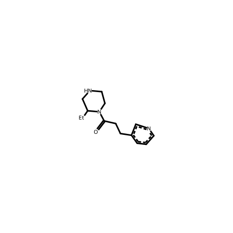 CCC1CNCCN1C(=O)CCc1cccnc1